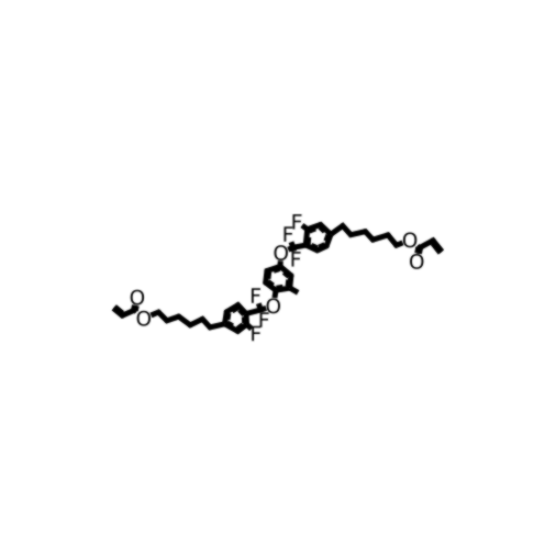 C=CC(=O)OCCCCCCc1ccc(C(F)(F)Oc2ccc(OC(F)(F)c3ccc(CCCCCCOC(=O)C=C)cc3F)c(C)c2)c(F)c1